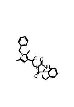 Cc1cc(C(=O)CN2C(=O)N[C@]3(CCc4ccccc43)C2=O)c(C)n1Cc1ccccc1